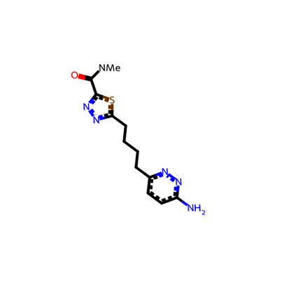 CNC(=O)c1nnc(CCCCc2ccc(N)nn2)s1